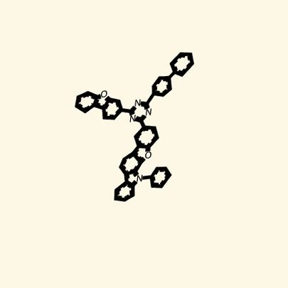 c1ccc(-c2ccc(-c3nc(-c4ccc5c(c4)oc4ccccc45)nc(-c4ccc5oc6c(ccc7c8ccccc8n(-c8ccccc8)c76)c5c4)n3)cc2)cc1